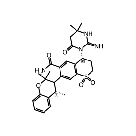 C[C@@H]1c2ccccc2OC(C)(C)C1c1cc2c(cc1C(N)=O)[C@H](N1C(=N)NC(C)(C)CC1=O)CCS2(=O)=O